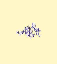 C=C.C=C.NCCN.NCCN.NCCN.NCCN